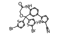 N#Cc1ccc(-c2ccc3c(c2)C(c2ccc(Br)s2)(c2ccc(Br)s2)OCC(=O)N3)[nH]1